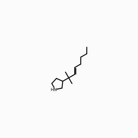 CCCC/C=C/C(C)(C)C1CCNC1